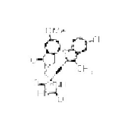 COc1ccc2c(c1)C(=O)N(C[C@@]1(C#Cc3sc4ccc(Cl)cc4c3C)NC(=O)NC1=O)C2